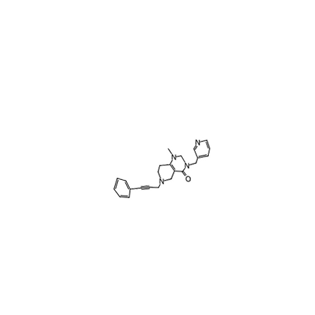 CN1CN(Cc2cccnc2)C(=O)C2=C1CCN(CC#Cc1ccccc1)C2